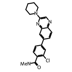 CNC(=O)c1ccc(-c2ccc3ncc(N4CCCCC4)nc3c2)cc1Cl